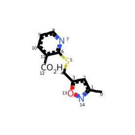 Cc1cc(CSc2ncccc2C(=O)O)on1